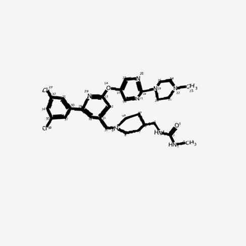 CNC(=O)NCC1CCN(Cc2cc(Oc3cnc(N4CCN(C)CC4)nc3)nc(-c3cc(Cl)cc(Cl)c3)c2)CC1